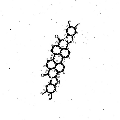 Cc1cc2nc3c4ccc5c6ccc7c8c(ccc(c9ccc(c(=O)n3c2cc1C)c4c95)c68)c(=O)n1c2cc(C)c(C)cc2nc71